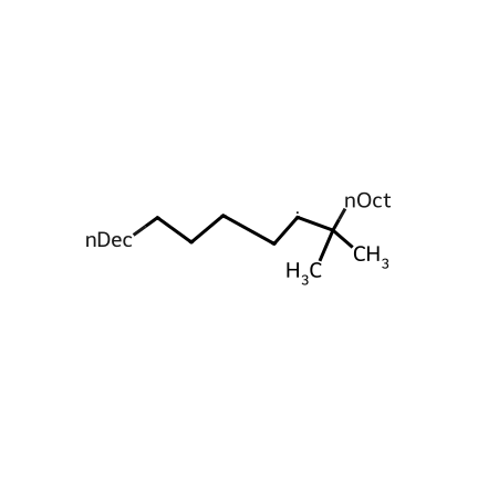 CCCCCCCCCCCCCC[CH]C(C)(C)CCCCCCCC